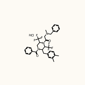 Cc1ccc(CC2C(C(F)(F)F)N(C(=O)CN(C)Cc3ccccc3)C(C(F)(F)F)CN2C(=O)c2ccccc2)cc1C.Cl